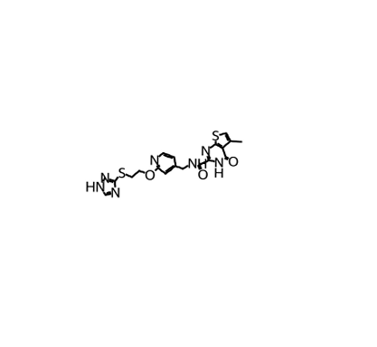 Cc1csc2nc(C(=O)NCc3ccnc(OCCSc4nc[nH]n4)c3)[nH]c(=O)c12